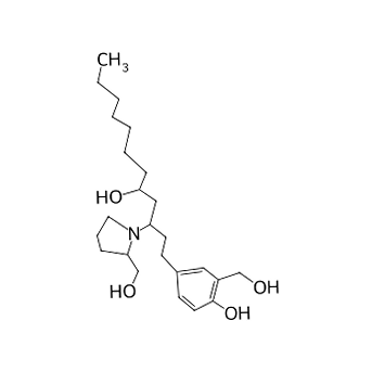 CCCCCCCC(O)CC(CCc1ccc(O)c(CO)c1)N1CCCC1CO